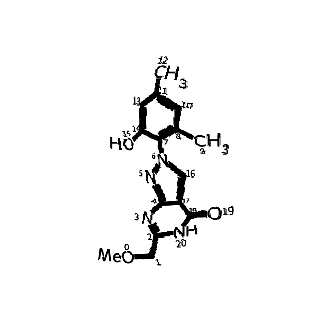 COCc1nc2nn(-c3c(C)cc(C)cc3O)cc2c(=O)[nH]1